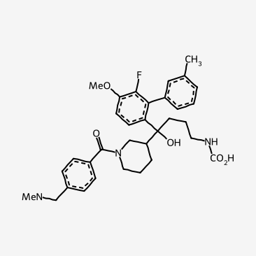 CNCc1ccc(C(=O)N2CCCC(C(O)(CCCNC(=O)O)c3ccc(OC)c(F)c3-c3cccc(C)c3)C2)cc1